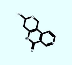 CC(C)C1Cc2[nH]c(=O)c3cnccc3c2CO1